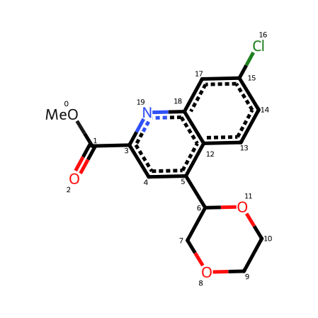 COC(=O)c1cc(C2COCCO2)c2ccc(Cl)cc2n1